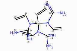 C=CN(C(=N)N)[Si](C=C)(N(C=C)C(=N)N)N(C=C)C(=N)N